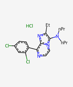 CCCN(CCC)c1c(CC)nc2c(-c3ccc(Cl)cc3Cl)nccn12.Cl